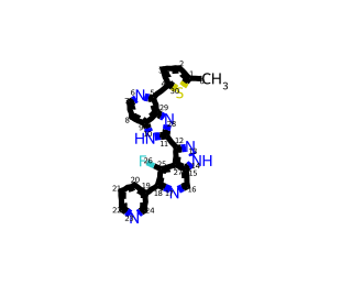 Cc1ccc(-c2nccc3[nH]c(-c4n[nH]c5cnc(-c6cccnc6)c(F)c45)nc23)s1